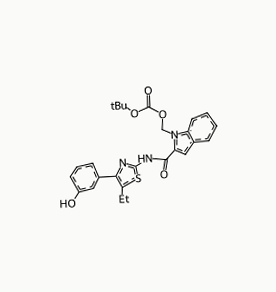 CCc1sc(NC(=O)c2cc3ccccc3n2COC(=O)OC(C)(C)C)nc1-c1cccc(O)c1